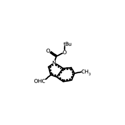 Cc1ccc2c(C=O)cn(C(=O)OC(C)(C)C)c2c1